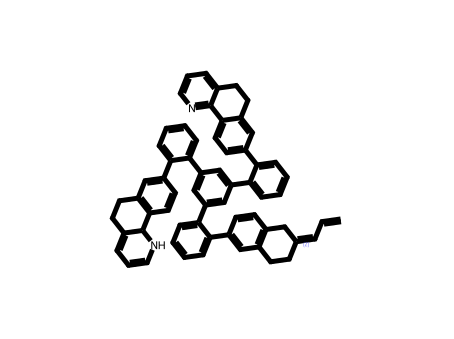 C=C/C=C1/CCc2cc(-c3ccccc3-c3cc(-c4ccccc4-c4ccc5c(c4)CCc4cccnc4-5)cc(-c4ccccc4-c4ccc5c(c4)CCC4=CC=CNC45)c3)ccc2C1